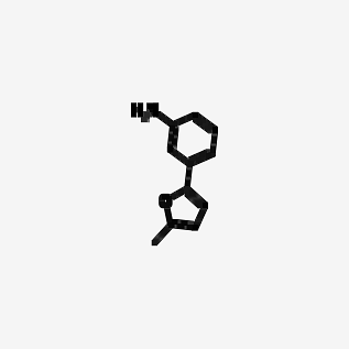 Cc1ccc(-c2cccc(N)c2)o1